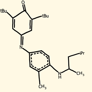 Cc1cc(N=C2C=C(C(C)(C)C)C(=O)C(C(C)(C)C)=C2)ccc1NC(C)CC(C)C